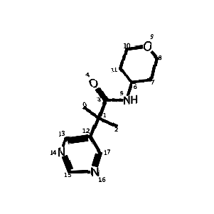 CC(C)(C(=O)NC1CCOCC1)c1cncnc1